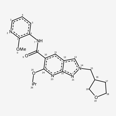 COc1ncccc1NC(=O)c1cc2cn(CC3CCOC3)nc2nc1OC(C)C